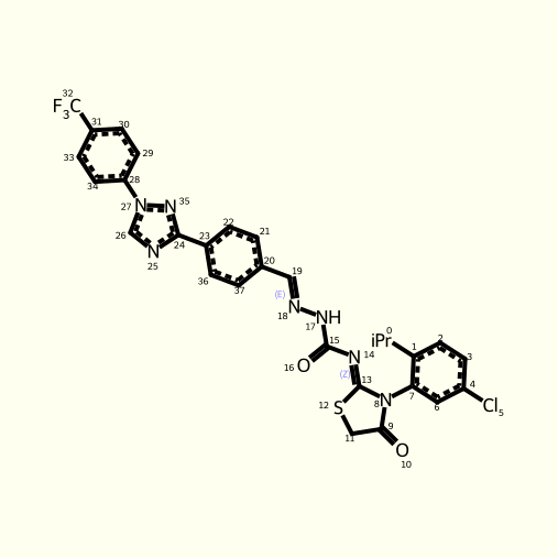 CC(C)c1ccc(Cl)cc1N1C(=O)CS/C1=N\C(=O)N/N=C/c1ccc(-c2ncn(-c3ccc(C(F)(F)F)cc3)n2)cc1